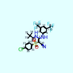 CC(N/C(Nc1cc(C(F)(F)F)cc(C(F)(F)F)c1)=C(/C#N)S(=O)(=O)c1ccc(Cl)cc1)C(C)(C)C